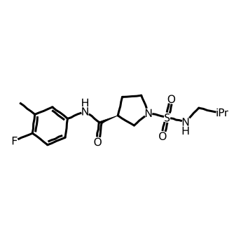 Cc1cc(NC(=O)[C@H]2CCN(S(=O)(=O)NCC(C)C)C2)ccc1F